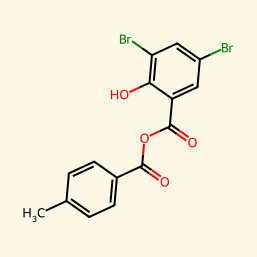 Cc1ccc(C(=O)OC(=O)c2cc(Br)cc(Br)c2O)cc1